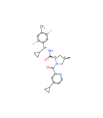 C[C@@H]1C[C@H](C(=O)N[C@@H](c2cc(F)c(C(F)(F)F)cc2F)C2CC2)N(C(=O)c2cc(C3CC3)ccn2)C1